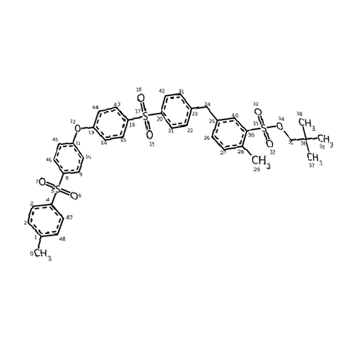 Cc1ccc(S(=O)(=O)c2ccc(Oc3ccc(S(=O)(=O)c4ccc(Cc5ccc(C)c(S(=O)(=O)OCC(C)(C)C)c5)cc4)cc3)cc2)cc1